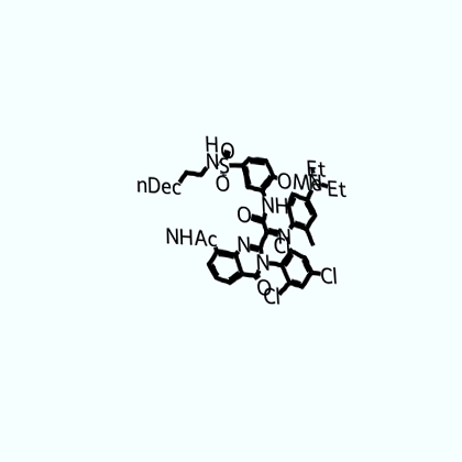 CCCCCCCCCCCCNS(=O)(=O)c1ccc(OC)c(NC(=O)/C(=N\c2ccc(N(CC)CC)cc2C)c2nc3c(NC(C)=O)cccc3c(=O)n2-c2c(Cl)cc(Cl)cc2Cl)c1